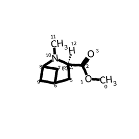 COC(=O)[C@H]1CC2CC(C2)N1C